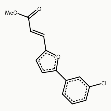 COC(=O)/C=C/c1ccc(-c2cccc(Cl)c2)o1